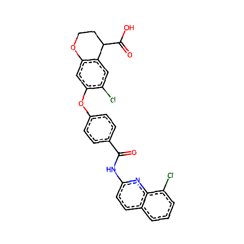 O=C(Nc1ccc2cccc(Cl)c2n1)c1ccc(Oc2cc3c(cc2Cl)C(C(=O)O)CCO3)cc1